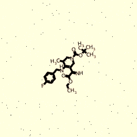 CCOC(=O)C(=N)C1=C(NCc2ccc(F)cc2)C(C)CN(C(=O)OC(C)(C)C)C1